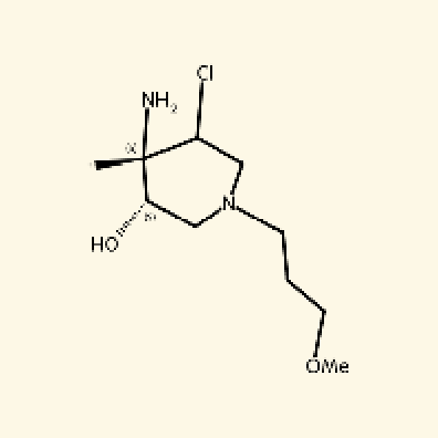 [CH2][C@@]1(N)C(Cl)CN(CCCOC)C[C@@H]1O